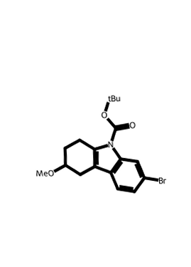 COC1CCc2c(c3ccc(Br)cc3n2C(=O)OC(C)(C)C)C1